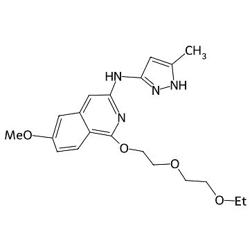 CCOCCOCCOc1nc(Nc2cc(C)[nH]n2)cc2cc(OC)ccc12